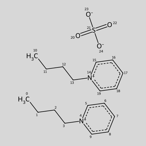 CCCC[n+]1ccccc1.CCCC[n+]1ccccc1.O=S(=O)([O-])[O-]